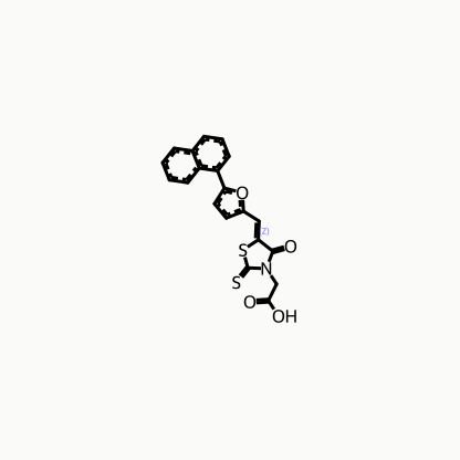 O=C(O)CN1C(=O)/C(=C/c2ccc(-c3cccc4ccccc34)o2)SC1=S